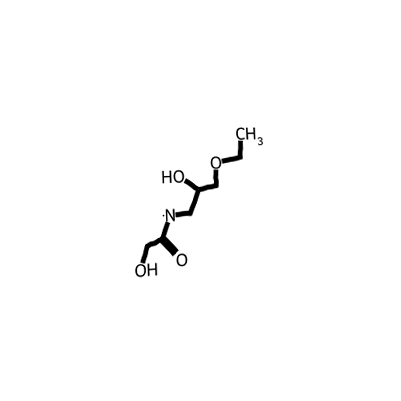 CCOCC(O)C[N]C(=O)CO